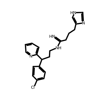 N=C(CCCc1c[nH]cn1)NCCC(c1ccc(Cl)cc1)c1ccccn1